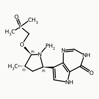 C[C@H]1C[C@H](c2c[nH]c3c(=O)[nH]cnc23)N(P)[C@@H]1OCP(C)(C)=O